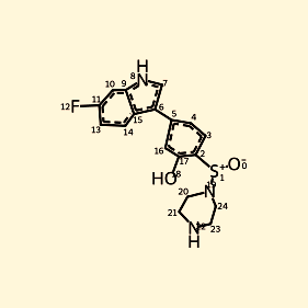 [O-][S+](c1ccc(-c2c[nH]c3cc(F)ccc23)cc1O)N1CCNCC1